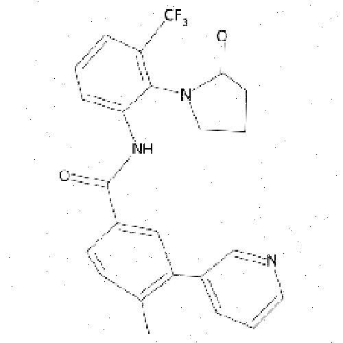 Cc1ccc(C(=O)Nc2cccc(C(F)(F)F)c2N2CCCC2=O)cc1-c1cccnc1